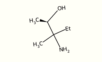 CCC(C)(N)[C@@H](C)O